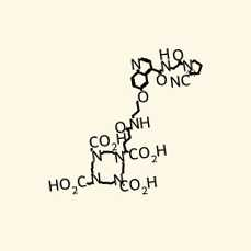 N#C[C@@H]1CCCN1C(=O)CNC(=O)c1ccnc2ccc(OCCCNC(=O)CCC(C(=O)O)N3CCN(CC(=O)O)CCN(CC(=O)O)CCN(C(=O)O)CC3)cc12